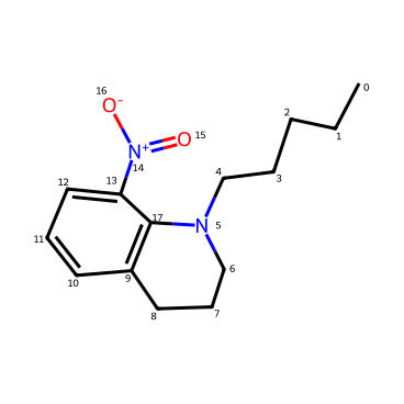 CCCCCN1CCCc2cccc([N+](=O)[O-])c21